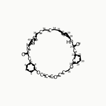 O=C1Cc2cccc(c2)OCCCOCCCOc2cccc(c2)CC(=O)Nc2ccc(nn2)CCCCc2ccc(nn2)N1